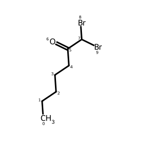 CCCCCC(=O)C(Br)Br